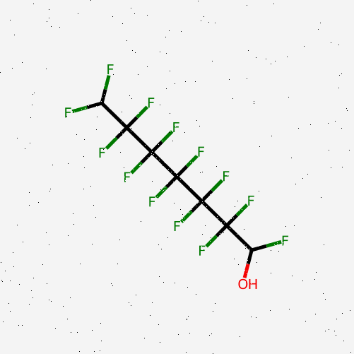 OC(F)C(F)(F)C(F)(F)C(F)(F)C(F)(F)C(F)(F)C(F)F